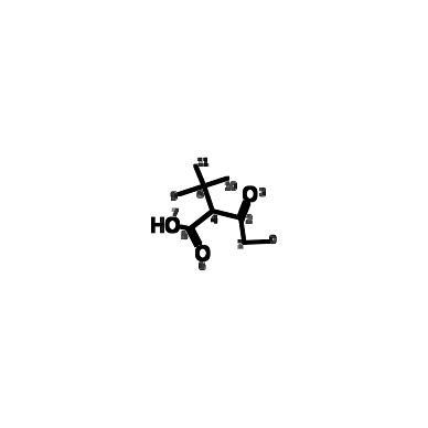 CCC(=O)C(C(=O)O)C(C)(C)C